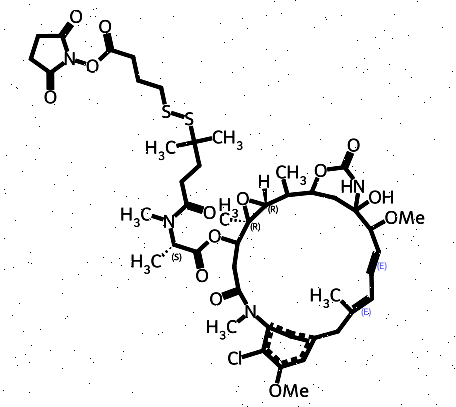 COc1cc2cc(c1Cl)N(C)C(=O)CC(OC(=O)[C@H](C)N(C)C(=O)CCC(C)(C)SSCCCC(=O)ON1C(=O)CCC1=O)[C@@]1(C)O[C@@H]1C(C)C1CC(O)(NC(=O)O1)C(OC)/C=C/C=C(\C)C2